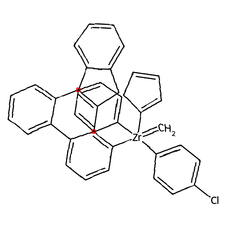 [CH2]=[Zr]([C]1=CC=CC1)([c]1ccccc1)([c]1ccc(Cl)cc1)[c]1cccc2c1c1c(c3ccccc32)-c2ccccc2C1